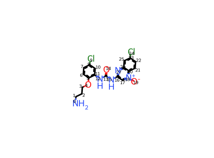 NCCCOc1ccc(Cl)cc1NC(=O)Nc1c[n+]([O-])c2ccc(Cl)cc2n1